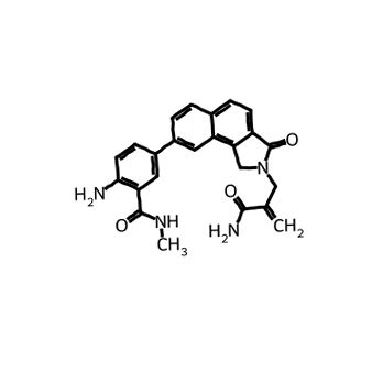 C=C(CN1Cc2c(ccc3ccc(-c4ccc(N)c(C(=O)NC)c4)cc23)C1=O)C(N)=O